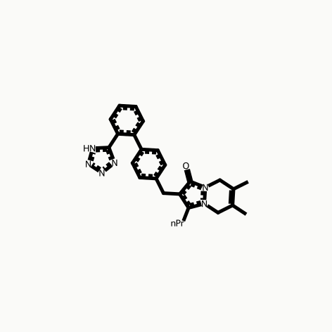 CCCc1c(Cc2ccc(-c3ccccc3-c3nnn[nH]3)cc2)c(=O)n2n1CC(C)=C(C)C2